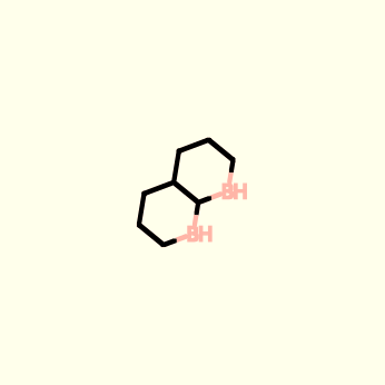 B1CCCC2CCCBC12